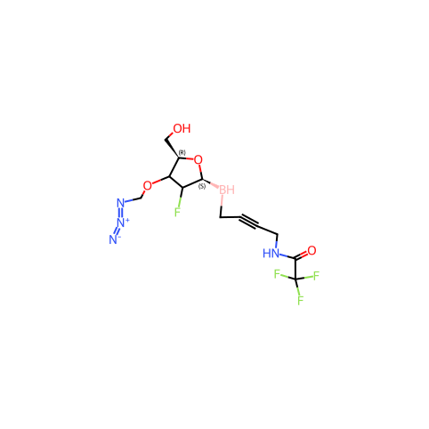 [N-]=[N+]=NCOC1C(F)[C@H](BCC#CCNC(=O)C(F)(F)F)O[C@@H]1CO